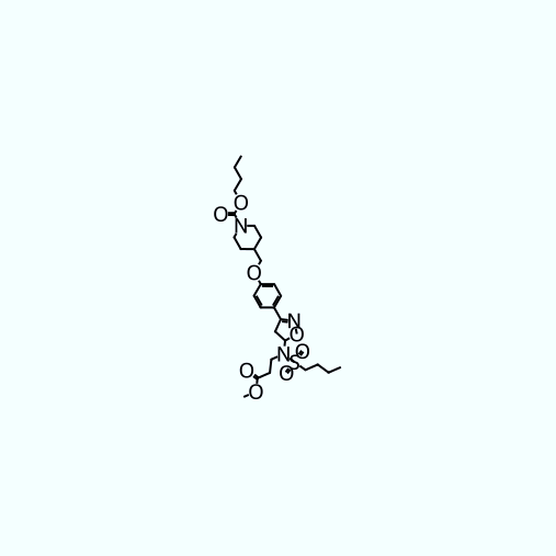 CCCCOC(=O)N1CCC(COc2ccc(C3=NOC(N(CCC(=O)OC)S(=O)(=O)CCCC)C3)cc2)CC1